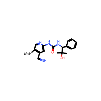 CNc1cnc(NC(=O)N[C@@H](c2ccccc2)C(C)(C)O)cc1C=N